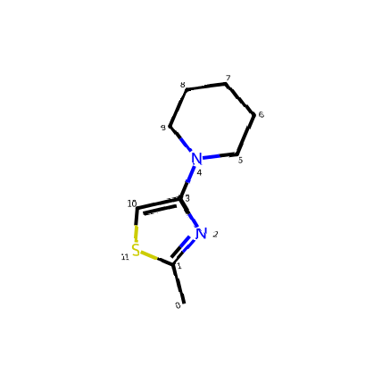 Cc1nc(N2CCCCC2)cs1